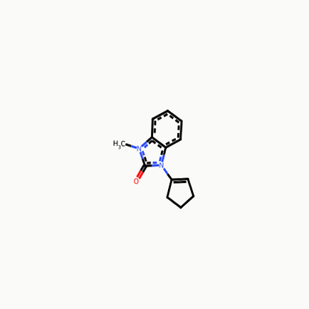 Cn1c(=O)n(C2=CCCC2)c2ccccc21